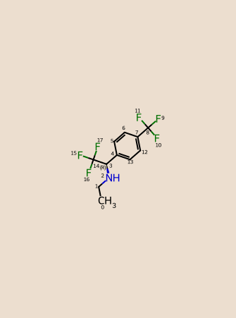 CCN[C@H](c1ccc(C(F)(F)F)cc1)C(F)(F)F